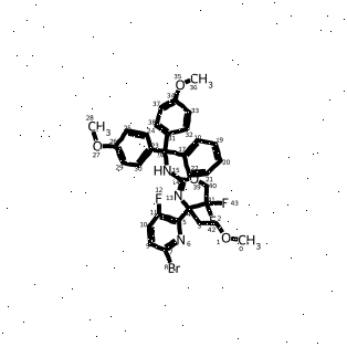 COCCC1(c2nc(Br)ccc2F)N=C(NC(c2ccccc2)(c2ccc(OC)cc2)c2ccc(OC)cc2)OCC1(F)F